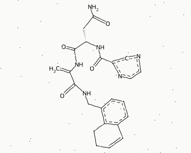 C=C(NC(=O)[C@H](CC(N)=O)NC(=O)c1cnccn1)C(=O)NCc1cccc2c1CCC=C2